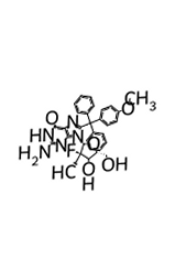 C#C[C@@]1(F)[C@H](O)[C@@H](CO)O[C@@H]1n1c(C(c2ccccc2)(c2ccccc2)c2ccc(OC)cc2)nc2c(=O)[nH]c(N)nc21